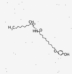 CCCCCCCCC(C)SCCNC(=O)CCCCCCCCCCOc1ccc(O)cc1